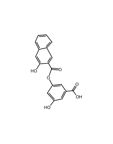 O=C(O)c1cc(O)cc(OC(=O)c2cc3ccccc3cc2O)c1